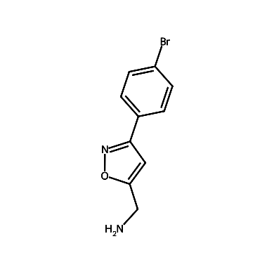 NCc1cc(-c2ccc(Br)cc2)no1